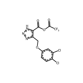 O=C(OC(=O)C(F)(F)F)c1[nH]nnc1COc1ccc(Cl)c(Cl)c1